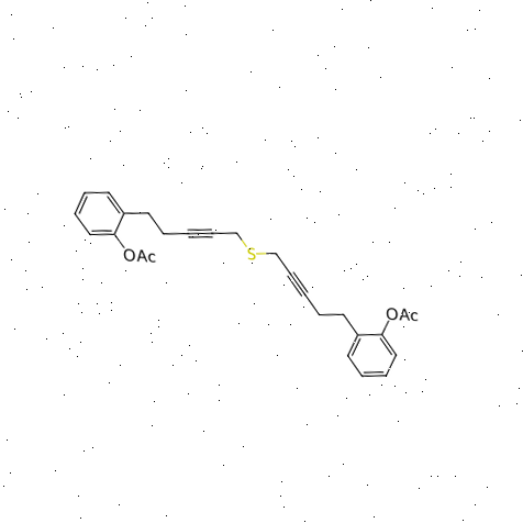 CC(=O)Oc1ccccc1CCC#CCSCC#CCCc1ccccc1OC(C)=O